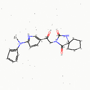 CCN(c1ccccc1)c1ccc(C(=O)CN2C(=O)NC3(CCCCC3)C2=O)cn1